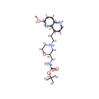 COc1ccc2nccc(CCN3CCOC(CNC(=O)OC(C)(C)C)C3)c2n1